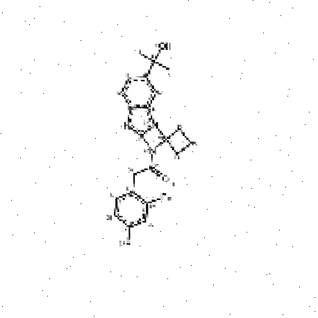 CC(C)(O)c1ccc2nc3n(c2c1)C1(CCC1)N3C(=O)Cc1ccc(F)cc1F